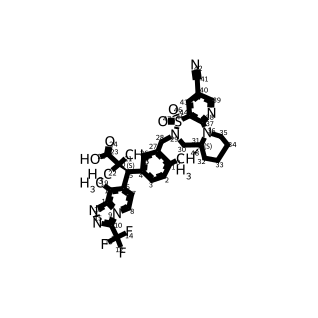 Cc1ccc([C@@H](c2ccn3c(C(F)(F)F)nnc3c2C)C(C)(C)C(=O)O)cc1CN1C[C@@H]2CCCCN2c2ncc(C#N)cc2S1(=O)=O